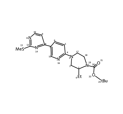 CCC1CN(c2ccc(-c3ccnc(SC)n3)cn2)CCN1C(=O)OC(C)(C)C